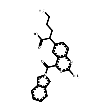 CCCCC(C(=O)O)c1ccc2nc(N)nc(C(=O)n3cc4ccccc4c3)c2c1